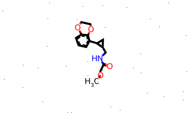 COCC(=O)NCC1CC1c1cccc2c1OCCO2